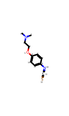 CN(C)CCOc1ccc(N=C=S)cc1